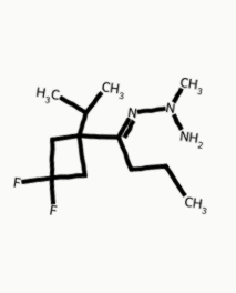 CCC/C(=N\N(C)N)C1(C(C)C)CC(F)(F)C1